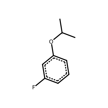 C[C](C)Oc1cccc(F)c1